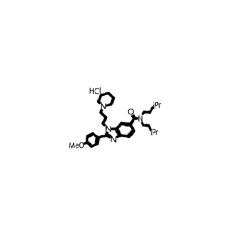 COc1ccc(-c2nc3ccc(C(=O)N(CCC(C)C)CCC(C)C)cc3n2CCCN2CCCCC2)cc1.Cl